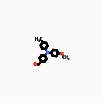 COc1ccc(N(c2ccc(C)cc2)c2ccc(C=O)cc2)cc1